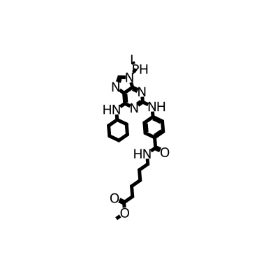 COC(=O)CCCCCNC(=O)c1ccc(Nc2nc(NC3CCCCC3)c3ncn(PI)c3n2)cc1